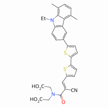 CCn1c2ccc(-c3ccc(-c4ccc(/C=C(\C#N)C(=O)N(CC(=O)O)CC(=O)O)s4)s3)cc2c2c(C)ccc(C)c21